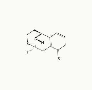 S=C1CC=CC2=C1C[C@H]1SCC[C@@]23CCCC[C@@H]13